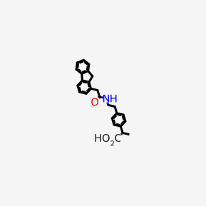 CC(C(=O)O)c1ccc(CCNC(=O)Cc2cccc3c2Cc2ccccc2-3)cc1